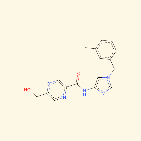 Cc1cccc(Cn2cnc(NC(=O)c3cnc(CO)cn3)c2)c1